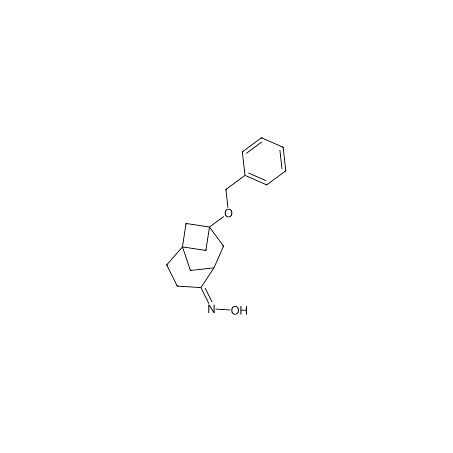 O/N=C1/CCC23CC1CC(OCc1ccccc1)(C2)C3